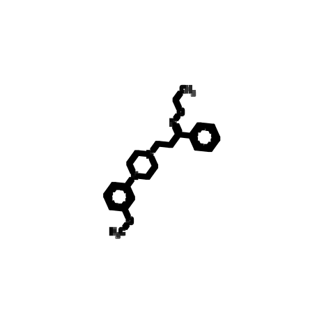 CCON=C(CCN1CCN(c2cccc(OC)c2)CC1)c1ccccc1